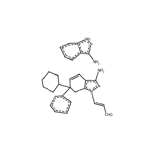 Nc1n[nH]c2ccccc12.Nc1nn(C=CC=O)c2c1C=CC(c1ccccc1)(C1CCCCC1)C2